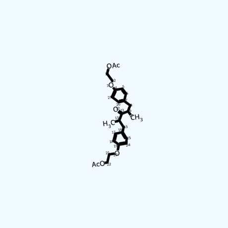 CC(=O)OCCOc1ccc(CC(C)C(=O)C(C)Cc2ccc(OCCOC(C)=O)cc2)cc1